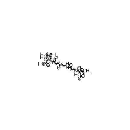 CC1(C)COC(=O)O[C@H]1C(=O)NCCC(=O)NCCSC(=O)/C=C/C(=O)O[C@H](CC(=O)O)C[N+](C)(C)C